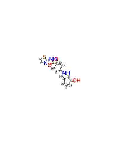 O=S(=O)(Nc1nccs1)c1ccc(NCc2cccc(O)c2)cc1